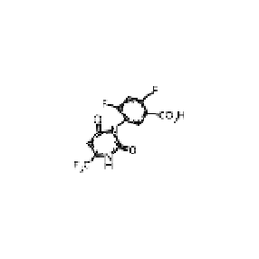 O=C(O)c1cc(-n2c(=O)cc(C(F)(F)F)[nH]c2=O)c(F)cc1F